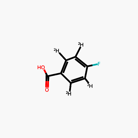 [2H]c1c([2H])c(C(=O)O)c([2H])c([2H])c1F